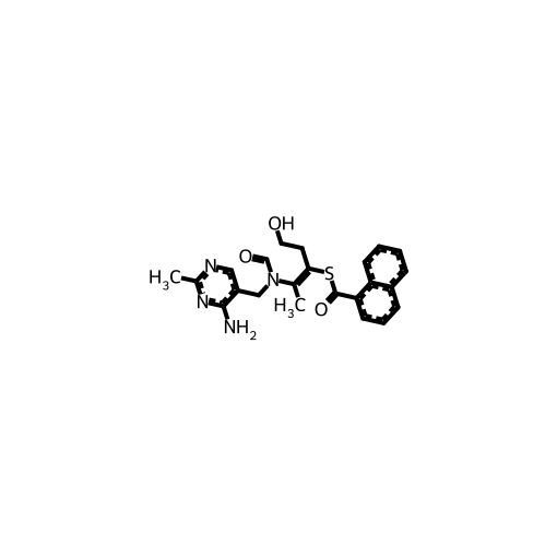 CC(=C(CCO)SC(=O)c1cccc2ccccc12)N(C=O)Cc1cnc(C)nc1N